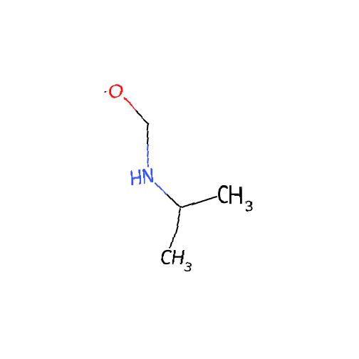 CC(C)NC[O]